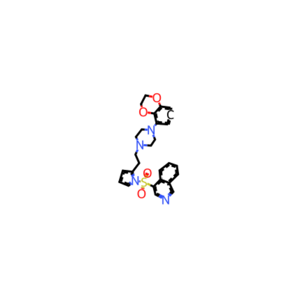 O=S(=O)(c1cncc2ccccc12)n1cccc1CCN1CCN(c2cccc3c2OCCO3)CC1